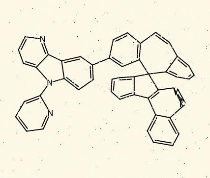 C1=Cc2ccc(-c3ccc4c(c3)c3ncccc3n4-c3ccccn3)cc2C2(c3ccccc31)c1ccccc1-c1c2c2ccccc2c2ccccc12